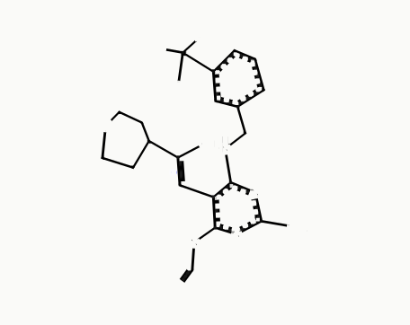 C/C(=C\c1c(NC=O)nc(C)nc1NCc1cccc(C(F)(F)F)c1)C1CCOCC1